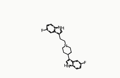 Fc1ccc2[nH]cc(CCN3CCC(c4c[nH]c5ccc(F)cc45)CC3)c2c1